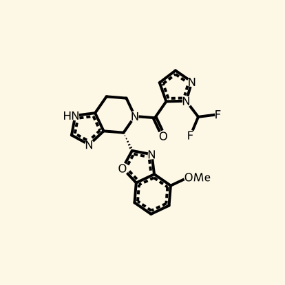 COc1cccc2oc([C@@H]3c4nc[nH]c4CCN3C(=O)c3ccnn3C(F)F)nc12